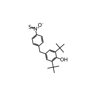 CC(C)(C)c1cc(Cc2ccc([N+]([O-])=S)cc2)cc(C(C)(C)C)c1O